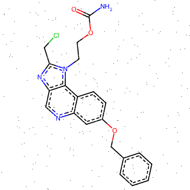 NC(=O)OCCn1c(CCl)nc2cnc3cc(OCc4ccccc4)ccc3c21